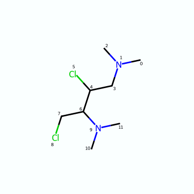 CN(C)CC(Cl)C(CCl)N(C)C